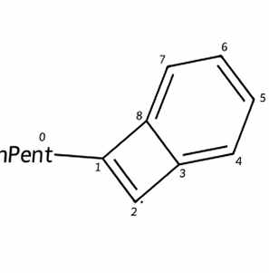 CCCCCC1=[C]c2ccccc21